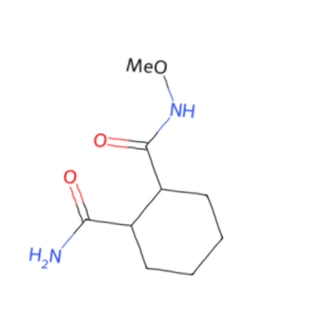 CONC(=O)C1CCCCC1C(N)=O